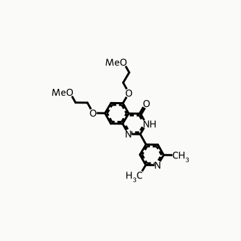 COCCOc1cc(OCCOC)c2c(=O)[nH]c(-c3cc(C)nc(C)c3)nc2c1